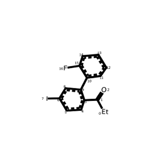 CCC(=O)c1ccc(I)cc1-c1ccccc1F